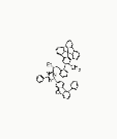 CCC(Cc1ccccc1-c1cc2c(cc1C)C1(c3ccccc3-c3ccccc31)c1ccccc1-2)c1nc(-c2ccccc2)nc(-c2ccc3c(c2)oc2cccc(-c4ccccc4)c23)n1